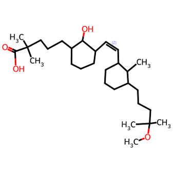 COC(C)(C)CCCC1CCCC(/C=C\C2CCCC(CCCC(C)(C)C(=O)O)C2O)C1C